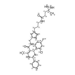 CC1=C(C(=O)NCc2cn(CCCNC(=O)CCC3(C)NN3)nn2)C(c2ccc(F)cc2Cl)N=C(c2ccncc2)N1